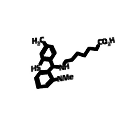 CNc1ccccc1C(NCCCCCCC(=O)O)c1ccc(C)cc1S